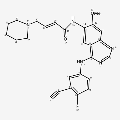 C#Cc1cc(Nc2ncnc3cc(OC)c(NC(=O)/C=C/CN4CCCCC4)cc23)ccc1F